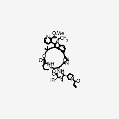 C=CC(=O)N1CC[C@H](C(=O)N(C)[C@H](C(=O)N[C@H]2Cc3nnc(o3)-c3ccc4c(c3)c(c(-c3cccnc3[C@H](C)OC)n4CC(F)(F)F)CC(C)(C)COC(=O)[C@@H]3CCCN(N3)C2=O)C(C)C)C1